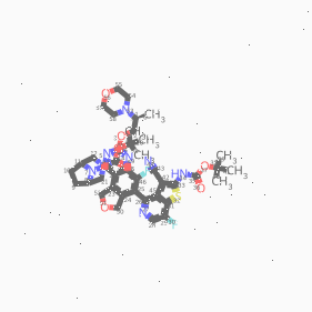 C[C@@H](COc1nc(N2C3CCC2CN(C(=O)OC(C)(C)C)C3)c2c3c(c(-c4ncc(F)c5sc(NC(=O)OC(C)(C)C)c(C#N)c45)c(F)c2n1)COC3)N1CCOCC1